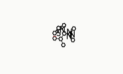 c1ccc(-c2cc(-c3ccccc3)cc(-c3cc(-c4nc(-c5ccccc5)nc(-c5ccccc5)n4)cc(-n4c5ccccc5c5ccc6c7ccccc7sc6c54)c3)c2)cc1